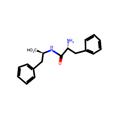 N[C@H](Cc1ccccc1)C(=O)N[C@@H](Cc1ccccc1)C(=O)O